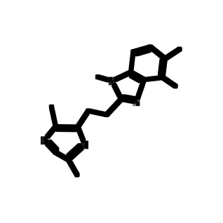 Cc1cnc(C)c(CCc2nc3c(C)c(C)ccc3n2C)n1